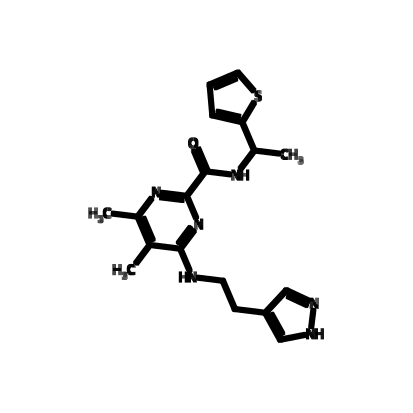 Cc1nc(C(=O)NC(C)c2cccs2)nc(NCCc2cn[nH]c2)c1C